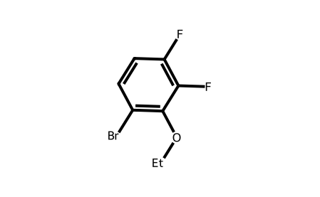 CCOc1c(Br)ccc(F)c1F